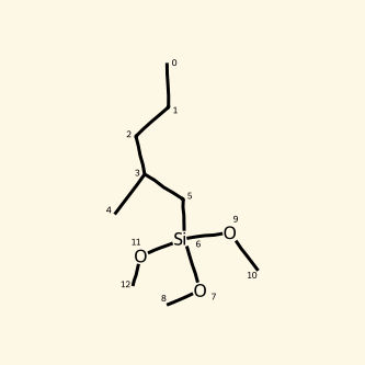 CCCC(C)C[Si](OC)(OC)OC